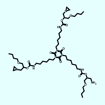 CCCCOCC(CN)OC(=O)NCCCCCCn1c(=O)n(CCCCCCNC(=O)OC(COCCCC)CN2CC2)c(=O)n(CCCCCCNC(=O)OC(COCCCC)CN2CC2)c1=O